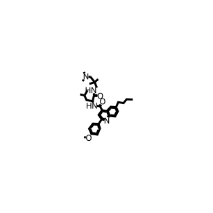 CCCCc1ccc2nc(-c3ccc(OC)cc3)cc(C(=O)NC(CC(C)C)C(=O)NCC(C)(C)CN(C)C)c2c1